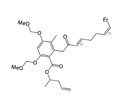 C=CCC(C)OC(=O)c1c(OCOC)cc(OCOC)c(C)c1CC(=O)/C=C/CC/C=C\CC